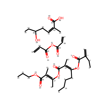 C=C(CC)C(=O)OC(CCCC)=C(C)C(=O)OC(C)=C(C)C(=O)OCCC.C=CC(=O)OC(=O)C=C.CCC(O)CC=C(C)C(=O)O